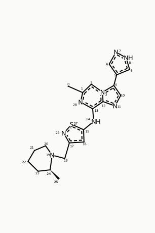 Cc1cn2c(-c3cn[nH]c3)cnc2c(Nc2cc(CN3CCCC[C@@H]3C)ns2)n1